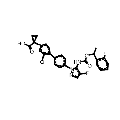 CC(OC(=O)Nc1c(F)cnn1-c1ccc(-c2ccc(C3(C(=O)O)CC3)cc2Cl)cc1)c1ccccc1Cl